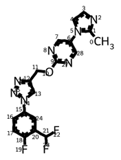 Cc1nccn1-c1cnc(OCc2cn(-c3ccc(F)c(C(F)F)c3)nn2)nc1